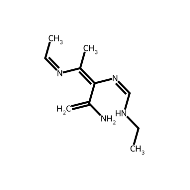 C=C(N)C(/N=C\NCC)=C(C)\N=C/C